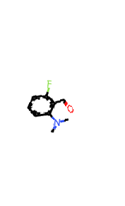 CN(C)c1cccc(F)c1C=O